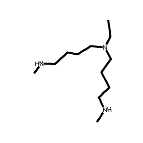 CCN(CCCCNC)CCCCNC